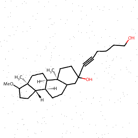 COC1CC[C@H]2[C@@H]3CCC4CC(O)(C#CCCCCO)CC[C@]4(C)[C@@H]3CC[C@]12C